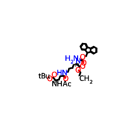 C=CCOC(=O)[C@@H](CCCCNC(=O)CC[C@H](NC(C)=O)C(=O)OC(C)(C)C)N(N)C(=O)OCC1c2ccccc2-c2ccccc21